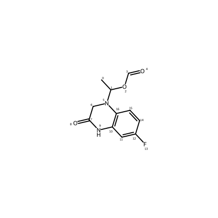 CC(OC=O)N1CC(=O)Nc2cc(F)ccc21